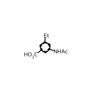 CCc1cc(NC(C)=O)cc(C(=O)O)c1